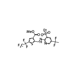 CCS(=O)(=O)c1cc(C(C)(F)F)cnc1NCc1sc(C(F)(F)C(F)(F)F)cc1C(=O)OC